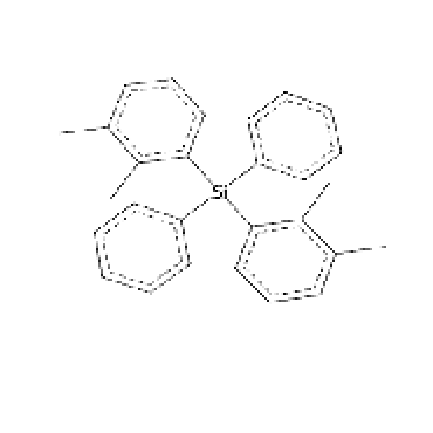 Cc1cccc([Si](c2ccccc2)(c2ccccc2)c2cccc(C)c2C)c1C